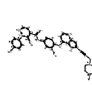 CN1CCN(CC#Cc2cc3nccc(Oc4ccc(NC(=O)c5ccnn(-c6ccc(F)cc6)c5=O)cc4F)c3s2)CC1